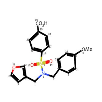 COc1ccc(CN(Cc2ccoc2)S(=O)(=O)c2ccc(C(=O)O)cc2)cc1